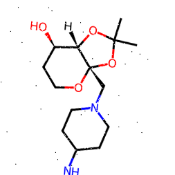 CC1(C)O[C@H]2[C@H](O)CCO[C@@]2(CN2CCC(N)CC2)O1